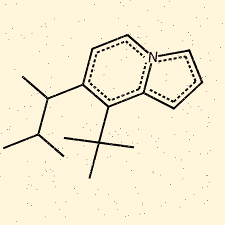 CC(C)C(C)c1ccn2cccc2c1C(C)(C)C